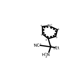 CCC(N)(C#N)c1ccncc1